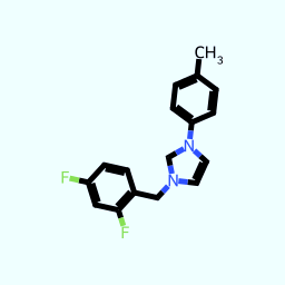 Cc1ccc(N2C=CN(Cc3ccc(F)cc3F)C2)cc1